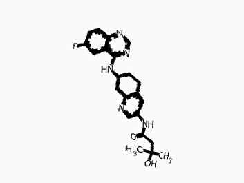 CC(C)(O)CC(=O)Nc1cnc2c(c1)CCC(Nc1ncnc3ccc(F)cc13)C2